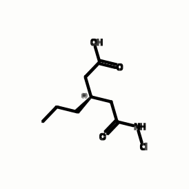 CCC[C@@H](CC(=O)O)CC(=O)NCl